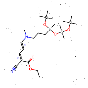 CCOC(=O)/C(C#N)=C\C=C\N(C)CCC[Si](C)(O[Si](C)(C)C)O[Si](C)(C)O[Si](C)(C)C